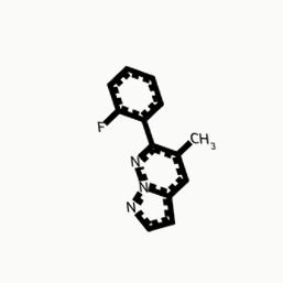 Cc1cc2ccnn2nc1-c1ccccc1F